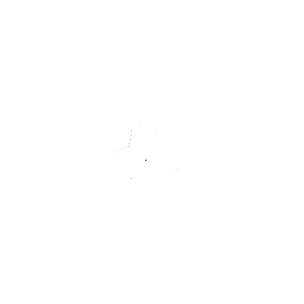 CCCCOC([SiH3])(OCCCC)C(C)OC(C)=O